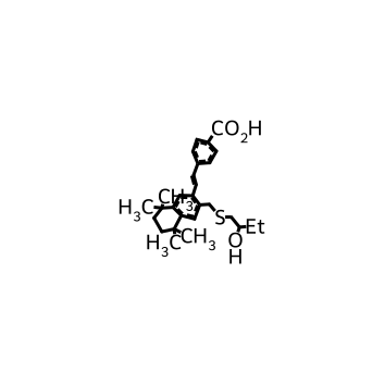 CCC(O)CSCc1cc2c(cc1/C=C/c1ccc(C(=O)O)cc1)C(C)(C)CCC2(C)C